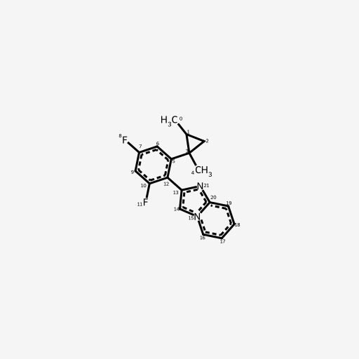 CC1CC1(C)c1cc(F)cc(F)c1-c1cn2ccccc2n1